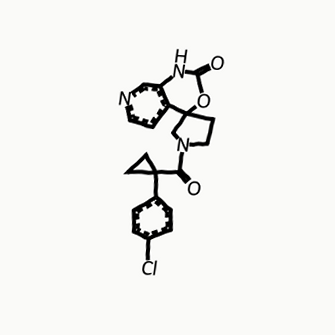 O=C1Nc2cnccc2C2(CCN(C(=O)C3(c4ccc(Cl)cc4)CC3)C2)O1